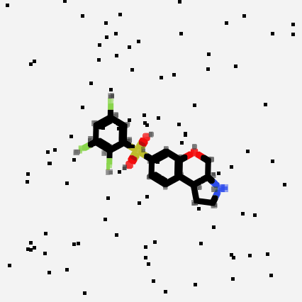 O=S(=O)(c1ccc2c(c1)OCC1NCCC21)c1cc(F)cc(F)c1F